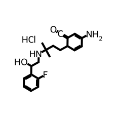 CC(C)(CCC1C=CC(N)=CC1=C=O)NCC(O)c1ccccc1F.Cl